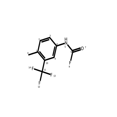 Cc1ccc(NC(=O)F)cc1C(F)(F)F